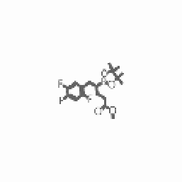 COC(=O)CCC(Cc1cc(F)c(F)cc1F)B1OC(C)(C)C(C)(C)O1